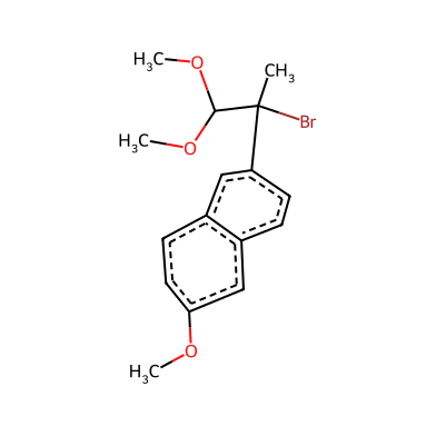 COc1ccc2cc(C(C)(Br)C(OC)OC)ccc2c1